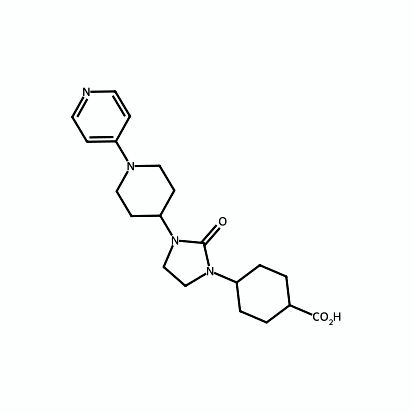 O=C(O)C1CCC(N2CCN(C3CCN(c4ccncc4)CC3)C2=O)CC1